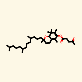 CC(=O)CCC(=O)OC1=C(C)C(C)(C)C2OC(C)(CCCC(C)CCCC(C)CCCC(C)C)CCC2=C1C